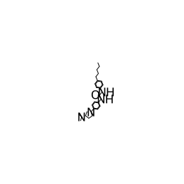 CCCCCc1ccc(NC(=O)Nc2ccc(N3CCC(N(C)C)C3)cc2)cc1